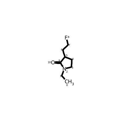 CCN1CCC(CCF)C1=O